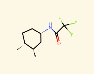 C[C@@H]1CC[C@H](NC(=O)C(F)(F)F)C[C@@H]1C